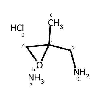 CC1(CN)CO1.Cl.N